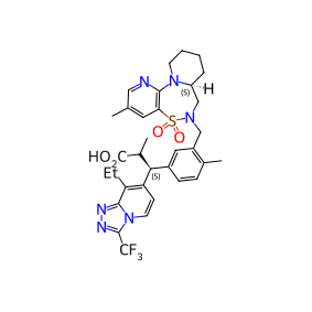 CCc1c([C@H](c2ccc(C)c(CN3C[C@@H]4CCCCN4c4ncc(C)cc4S3(=O)=O)c2)C(C)C(=O)O)ccn2c(C(F)(F)F)nnc12